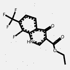 CCOC(=O)c1c[nH]c2c(F)c(C(F)(F)F)ccc2c1=O